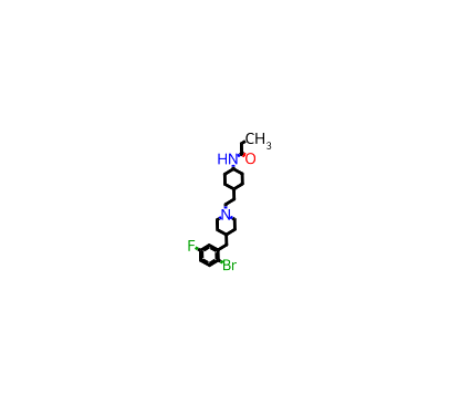 CCC(=O)NC1CCC(CCN2CCC(Cc3cc(F)ccc3Br)CC2)CC1